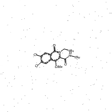 COc1c(C(=O)NC(C)(C)C)n(CC(C)(C)C)c(=O)c2cc(Cl)c(Cl)cc12